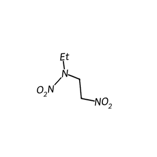 CCN(CC[N+](=O)[O-])[N+](=O)[O-]